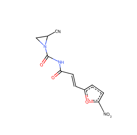 N#CC1CN1C(=O)NC(=O)C=Cc1ccc([N+](=O)[O-])o1